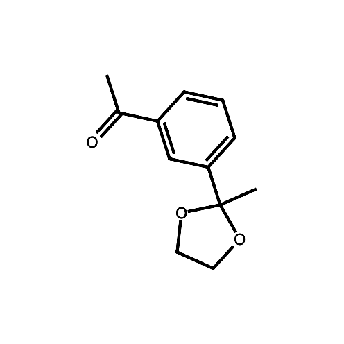 CC(=O)c1cccc(C2(C)OCCO2)c1